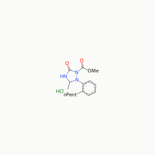 CCCCCc1ccccc1N1C(C)NC(=O)N1C(=O)OC.Cl